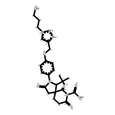 CC(C)(C)C1N(c2ccc(OCc3cn(CCCO)nn3)cc2)C(=O)CC12CCC(=O)N(C(=O)O)C2=O